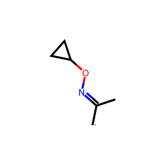 [CH2]C(C)=NOC1CC1